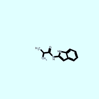 CC(C)C(=O)Nc1cc2ccccc2[nH]1